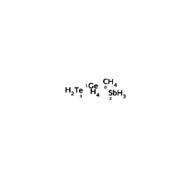 C.[GeH4].[SbH3].[TeH2]